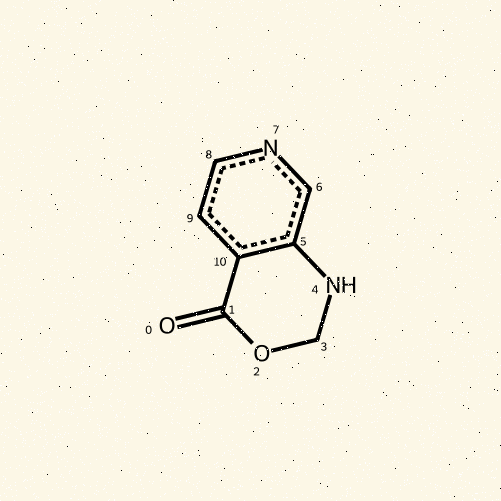 O=C1OCNc2cnccc21